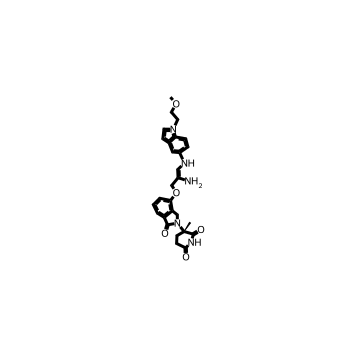 COCCn1ccc2cc(N/C=C(\N)COc3cccc4c3CN([C@@]3(C)CCC(=O)NC3=O)C4=O)ccc21